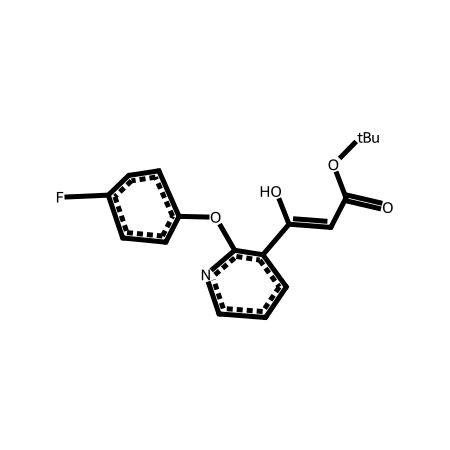 CC(C)(C)OC(=O)C=C(O)c1cccnc1Oc1ccc(F)cc1